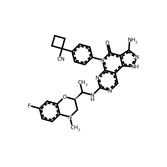 CC(Nc1ncc2c3[nH]nc(N)c3c(=O)n(-c3ccc(C4(C#N)CCC4)cc3)c2n1)[C@H]1CN(C)c2ccc(F)cc2O1